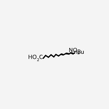 CCCC/C=C(/C=C/C=C/CCCCCCCC(=O)O)[N+](=O)[O-]